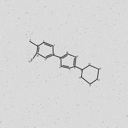 Cc1ccc(-c2ccc(C3CCCCC3)cc2)cc1F